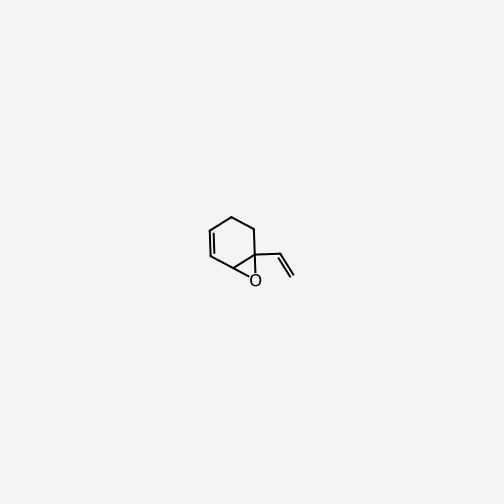 C=CC12CCC=CC1O2